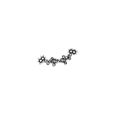 O=C(COc1cccc2ccccc12)OCN1C(=O)CN(CCN2CC(=O)N(COC(=O)COc3cccc4ccccc34)C(=O)C2)CC1=O